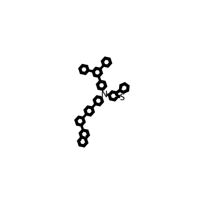 c1ccc(-c2cc(-c3ccccc3)cc(-c3ccc(N(c4ccc(-c5ccc(-c6cccc(-c7ccc8ccccc8c7)c6)cc5)cc4)c4ccc5sc6ccccc6c5c4)cc3)c2)cc1